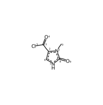 Cn1c(C(=O)Cl)c[nH]c1=O